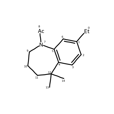 CCc1ccc2c(c1)N(C(C)=O)CCCC2(C)C